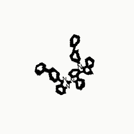 c1ccc(-c2ccc(-c3nc(-n4c5ccccc5c5c6c7ccc8ccccc8c7n(-c7ccc(-c8ccccc8)cc7)c6ccc54)nc4ccccc34)cc2)cc1